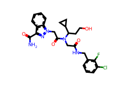 NC(=O)c1nn(CC(=O)N(CC(=O)NCc2cccc(Cl)c2F)C(CCO)C2CC2)c2ccccc12